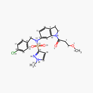 COCCC(=O)N1CCc2ccc(N(Cc3ccc(Cl)cc3)S(=O)(=O)c3ccn(C)n3)cc21